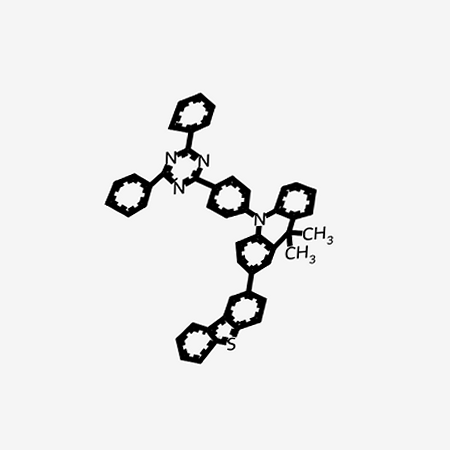 CC1(C)c2ccccc2N(c2ccc(-c3nc(-c4ccccc4)nc(-c4ccccc4)n3)cc2)c2ccc(-c3ccc4sc5ccccc5c4c3)cc21